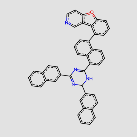 c1ccc2cc(C3=NC(c4ccc5ccccc5c4)NC(c4cccc5c(-c6cccc7oc8ccncc8c67)cccc45)=N3)ccc2c1